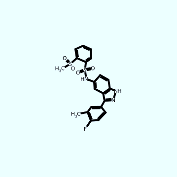 Cc1cc(-c2n[nH]c3ccc(NS(=O)(=O)c4ccccc4S(C)(=O)=O)cc23)ccc1F